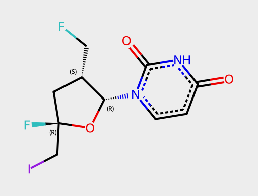 O=c1ccn([C@@H]2O[C@](F)(CI)C[C@@H]2CF)c(=O)[nH]1